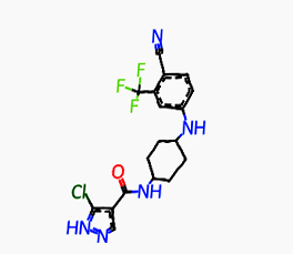 N#Cc1ccc(NC2CCC(NC(=O)c3cn[nH]c3Cl)CC2)cc1C(F)(F)F